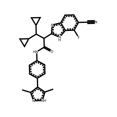 Cc1n[nH]c(C)c1-c1ccc(NC(=O)C(c2nc3ccc(C#N)c(F)c3[nH]2)C(C2CC2)C2CC2)cc1